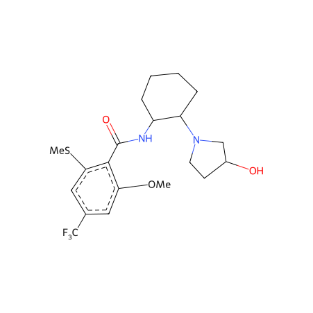 COc1cc(C(F)(F)F)cc(SC)c1C(=O)NC1CCCCC1N1CCC(O)C1